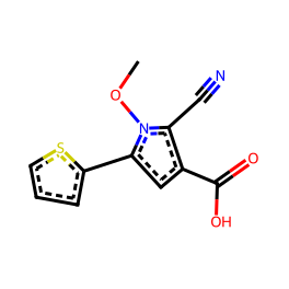 COn1c(-c2cccs2)cc(C(=O)O)c1C#N